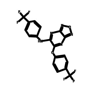 FC(F)(F)c1ccc(Nc2nc3nonc3nc2Oc2ccc(C(F)(F)F)cc2)cc1